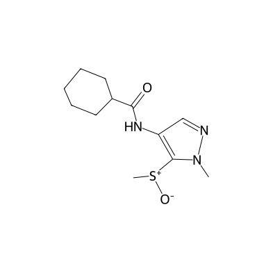 Cn1ncc(NC(=O)C2CCCCC2)c1[S+](C)[O-]